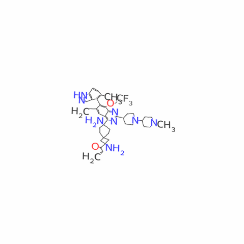 C=CC(=O)C1(N)CC2(CCC(N)(c3nc(C4CCN(C5CCN(C)CC5)CC4)nc4c(OCC(F)(F)F)c(-c5c(C)ccc6[nH]ncc56)c(C=C)cc34)CC2)C1